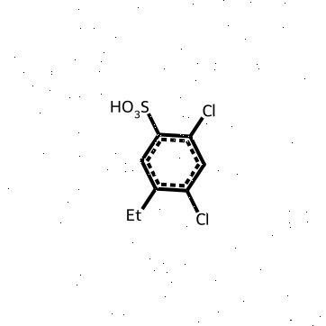 CCc1cc(S(=O)(=O)O)c(Cl)cc1Cl